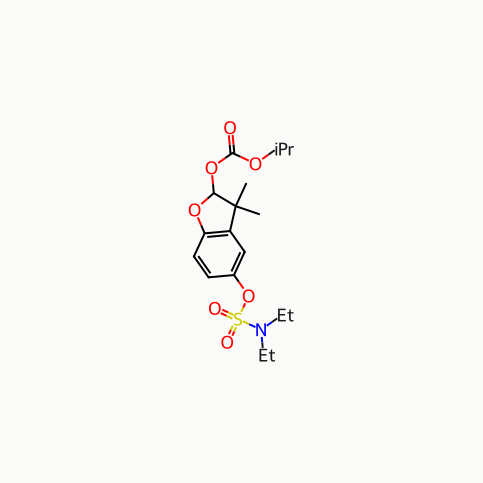 CCN(CC)S(=O)(=O)Oc1ccc2c(c1)C(C)(C)C(OC(=O)OC(C)C)O2